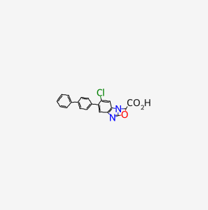 O=C(O)C1Oc2nc3cc(-c4ccc(-c5ccccc5)cc4)c(Cl)cc3n21